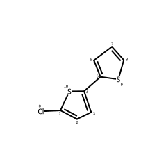 Clc1ccc(-c2[c]ccs2)s1